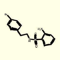 O=[N+]([O-])c1ccccc1S(=O)(=O)NCCc1ccc(Br)cc1